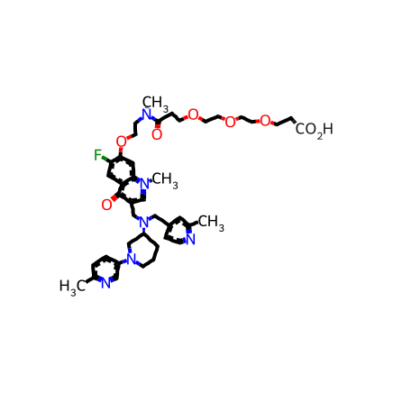 Cc1ccc(N2CCC[C@H](N(Cc3ccnc(C)c3)Cc3cn(C)c4cc(OCCN(C)C(=O)CCOCCOCCOCCC(=O)O)c(F)cc4c3=O)C2)cn1